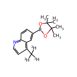 [2H]C([2H])([2H])c1ccnc2ccc(B3OC(C)(C)C(C)(C)O3)cc12